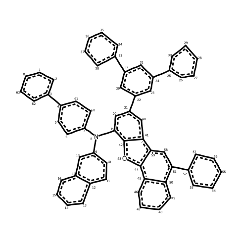 c1ccc(-c2ccc(N(c3ccc4ccccc4c3)c3cc(-c4cc(-c5ccccc5)cc(-c5ccccc5)c4)cc4c3oc3c5ccccc5c(-c5ccccc5)cc43)cc2)cc1